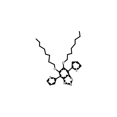 CCCCCCCCOc1c(OCCCCCCCC)c(-c2cccs2)c2snnc2c1-c1cccs1